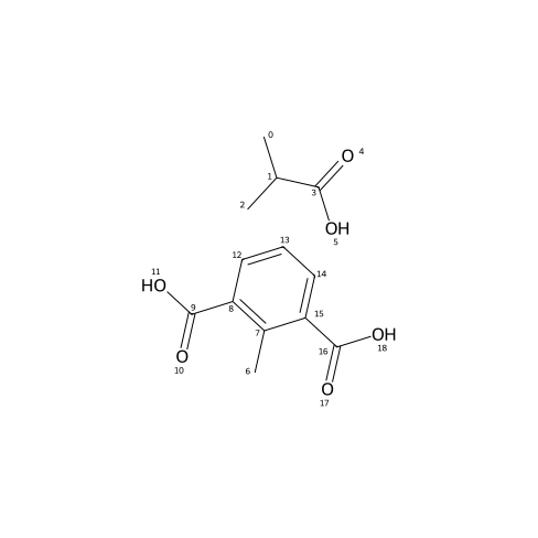 CC(C)C(=O)O.Cc1c(C(=O)O)cccc1C(=O)O